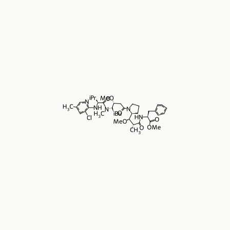 CC[C@H](C)[C@@H]([C@@H](CC(=O)N1CCC[C@H]1[C@H](OC)[C@@H](C)C(=O)N[C@@H](Cc1ccccc1)C(=O)OC)OC)N(C)C(=O)[C@@H](Nc1ncc(C)cc1Cl)C(C)C